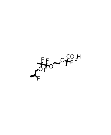 C=C(F)COC(C)(F)C(F)(F)OCCOC(C)(F)C(=O)O